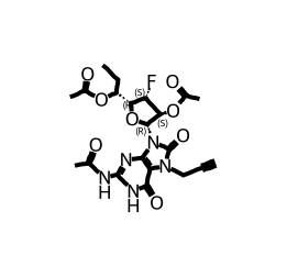 C#CCn1c(=O)n([C@@H]2O[C@H](C(CC)OC(C)=O)[C@H](F)[C@H]2OC(C)=O)c2nc(NC(C)=O)[nH]c(=O)c21